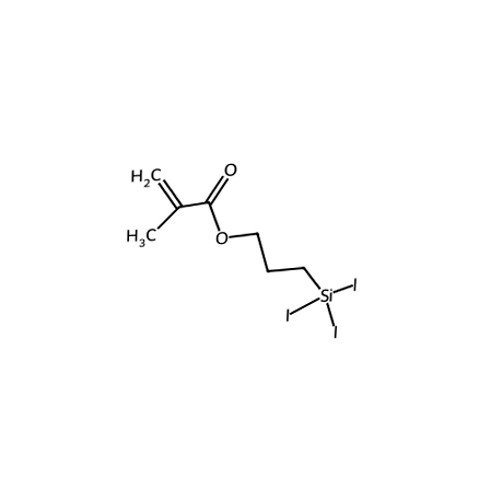 C=C(C)C(=O)OCCC[Si](I)(I)I